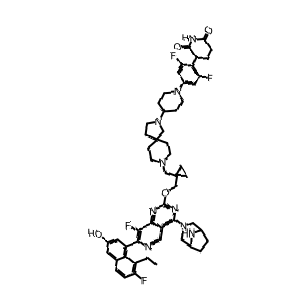 CCc1c(F)ccc2cc(O)cc(-c3ncc4c(N5CC6CCC(C5)N6)nc(OCC5(CN6CCC7(CC6)CCN(C6CCN(c8cc(F)c(C9CCC(=O)NC9=O)c(F)c8)CC6)C7)CC5)nc4c3F)c12